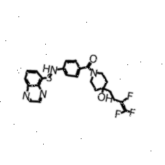 O=C(c1ccc(NSc2cccc3nccnc23)cc1)N1CCC(O)(CCC(F)=C(F)F)CC1